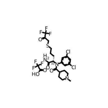 CN1CCC(C(=O)N(c2cc(Cl)cc(Cl)c2)[C@@H](CCCSCC(=O)C(F)(F)F)C(N)=O)CC1.O=C(O)C(F)(F)F